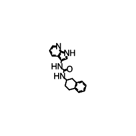 O=C(Nc1c[nH]c2ncccc12)NC1CCc2ccccc2C1